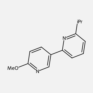 COc1ccc(-c2cccc(C(C)C)n2)cn1